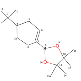 CC(C)(C)C1CC=C(B2OC(C)(C)C(C)(C)O2)CC1